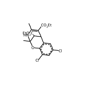 CCOC(=O)C1=C(C)NC2(C)Oc3c(Cl)cc(Cl)cc3C1C2C(=O)OCC